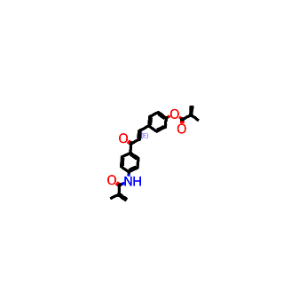 C=C(C)C(=O)Nc1ccc(C(=O)/C=C/c2ccc(OC(=O)C(=C)C)cc2)cc1